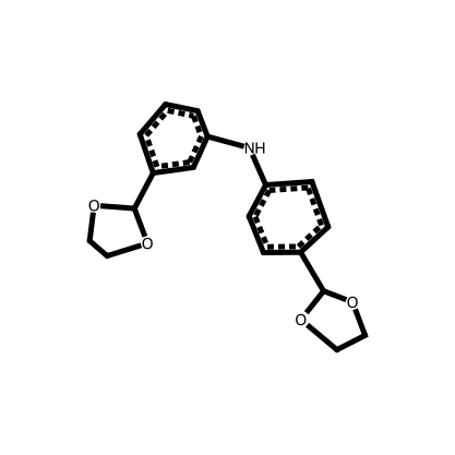 c1cc(Nc2ccc(C3OCCO3)cc2)cc(C2OCCO2)c1